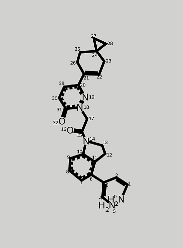 N/C=C\C(=C/N)c1cccc2c1CCN2C(=O)Cn1nc(C2=CCC3(CC2)CC3)ccc1=O